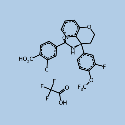 O=C(N[C@]1(c2ccc(OC(F)(F)F)c(F)c2)CCOc2cccnc21)c1ccc(C(=O)O)c(Cl)c1.O=C(O)C(F)(F)F